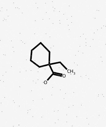 CCC1(C([O])=O)CCCCC1